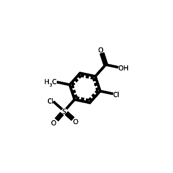 Cc1cc(C(=O)O)c(Cl)cc1S(=O)(=O)Cl